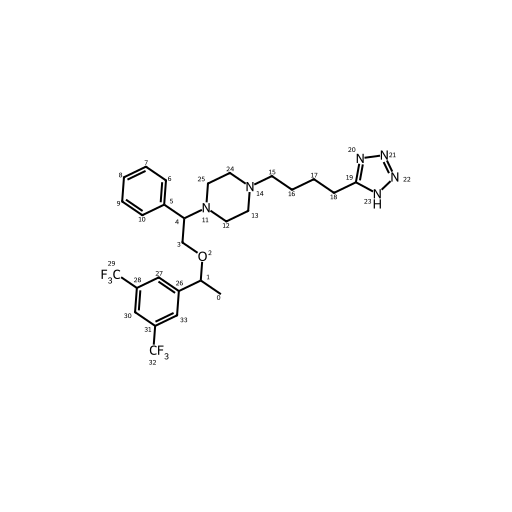 CC(OCC(c1ccccc1)N1CCN(CCCCc2nnn[nH]2)CC1)c1cc(C(F)(F)F)cc(C(F)(F)F)c1